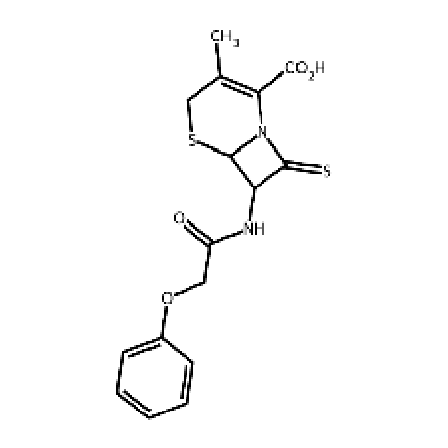 CC1=C(C(=O)O)N2C(=S)C(NC(=O)COc3ccccc3)C2SC1